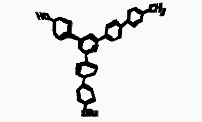 Cc1ccc(-c2ccc(-c3cc(-c4ccc(O)cc4)cc(-c4ccc(-c5ccc(C(C)(C)C)cc5)cc4)n3)cc2)cc1